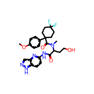 COc1ccc(C2(C(=O)N(C)C(CCO)C(=O)Nc3ccc4[nH]ncc4n3)CCC(F)(F)CC2)cc1